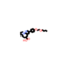 CCCCOCCOc1ccc(-c2cnc3c(c2)C=C(C(=O)O)CC[C@@H]2CCCN32)cc1